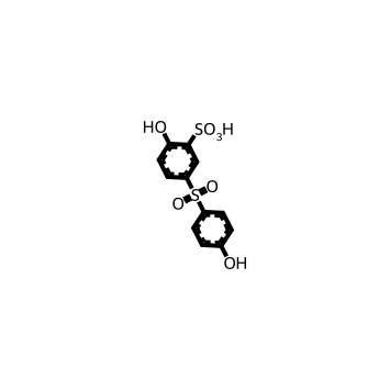 O=S(=O)(O)c1cc(S(=O)(=O)c2ccc(O)cc2)ccc1O